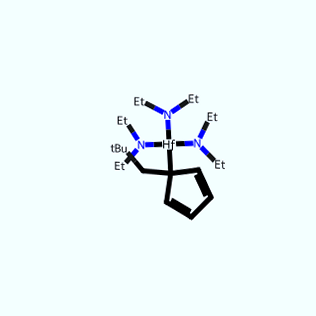 CC[N](CC)[Hf]([N](CC)CC)([N](CC)CC)[C]1(CC(C)(C)C)C=CC=C1